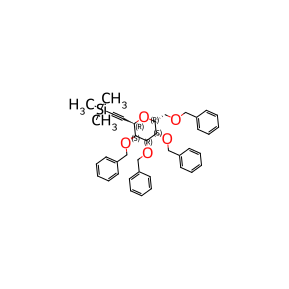 C[Si](C)(C)C#C[C@H]1O[C@H](COCc2ccccc2)[C@H](OCc2ccccc2)[C@H](OCc2ccccc2)[C@H]1OCc1ccccc1